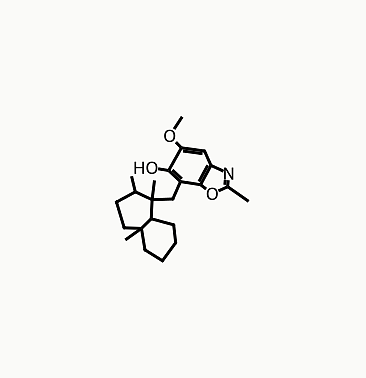 COc1cc2nc(C)oc2c(CC2(C)C(C)CCC3(C)CCCCC32)c1O